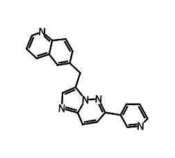 c1cncc(-c2ccc3ncc(Cc4ccc5ncccc5c4)n3n2)c1